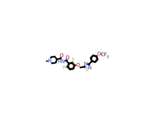 CN1CCC(C(=O)NC(=O)c2c(F)ccc(OCc3nc(-c4ccc(OC(F)(F)F)cc4)ns3)c2F)CC1